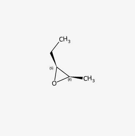 CC[C@@H]1O[C@@H]1C